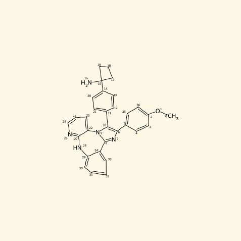 COc1ccc(-c2nc3n(c2-c2ccc(C4(N)CCC4)cc2)-c2cccnc2Nc2ccccc2-3)cc1